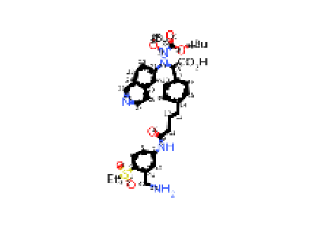 CCS(=O)(=O)c1ccc(NC(=O)CCCc2ccc(C(C(=O)O)N(c3ccc4cnccc4c3)N(OC(C)(C)C)C(=O)OC(C)(C)C)cc2)cc1CN